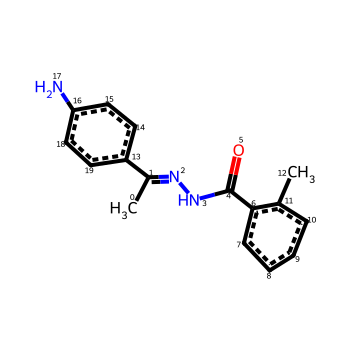 C/C(=N\NC(=O)c1ccccc1C)c1ccc(N)cc1